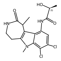 CC1C(=O)NCCc2c1c1c(NC(=O)[C@H](C)O)cc(Cl)c(Cl)c1n2C